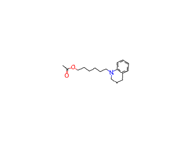 CC(=O)OCCCCCCN1CCCc2ccccc21